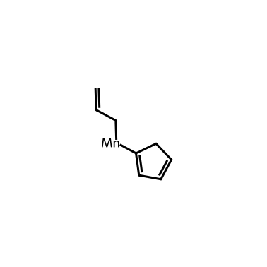 C=C[CH2][Mn][C]1=CC=CC1